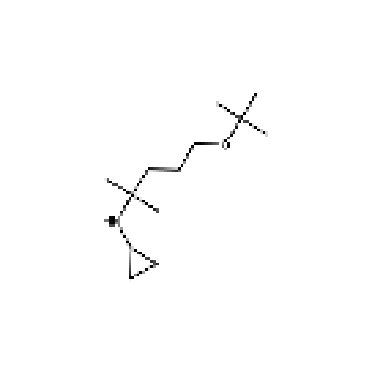 CC(C)(CCCOC(C)(C)C)NC1CC1